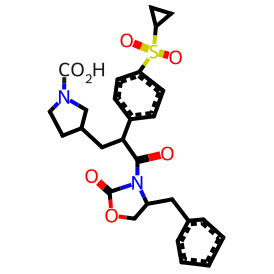 O=C(O)N1CCC(CC(C(=O)N2C(=O)OCC2Cc2ccccc2)c2ccc(S(=O)(=O)C3CC3)cc2)C1